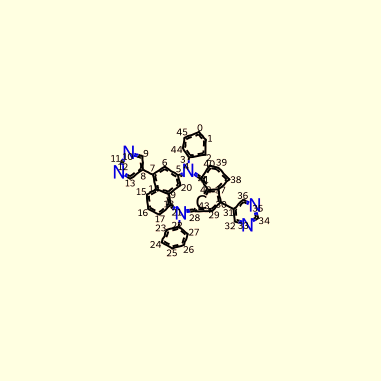 c1ccc(-n2c3cc(-c4cncnc4)c4cccc(c4c3)n(-c3ccccc3)c3cc(-c4cncnc4)c4cccc2c4c3)cc1